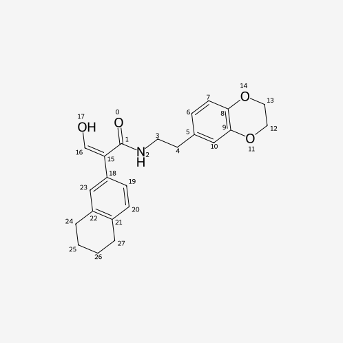 O=C(NCCc1ccc2c(c1)OCCO2)/C(=C\O)c1ccc2c(c1)CCCC2